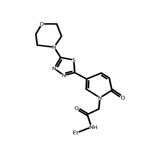 CCNC(=O)Cn1cc(-c2nnc(N3CCOCC3)s2)ccc1=O